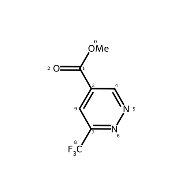 COC(=O)c1cnnc(C(F)(F)F)c1